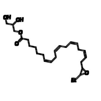 CCC1OC1C/C=C\C/C=C\C/C=C\C/C=C\CCCCCC(=O)OCC(O)CO